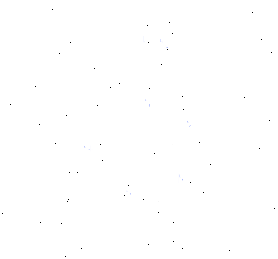 Cc1nc(N2CCCCC2)c2nc(C(N)C(C)(C)F)[nH]c2n1